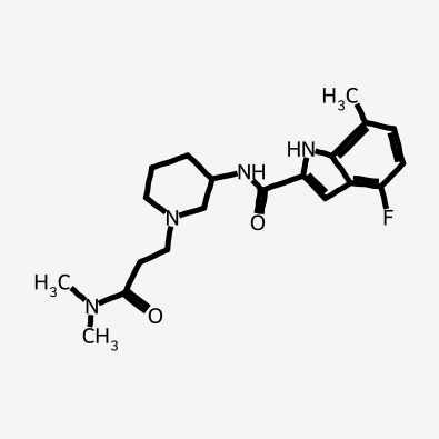 Cc1ccc(F)c2cc(C(=O)NC3CCCN(CCC(=O)N(C)C)C3)[nH]c12